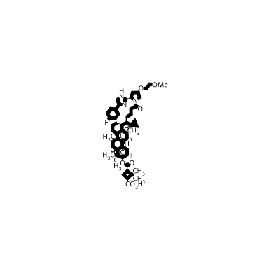 COCCO[C@@H]1C[C@@H](c2nc(-c3ccc(F)cc3)c[nH]2)N(C(=O)CCC[C@H]([C@H]2CCC[C@]3(C)[C@@H]2CC[C@@H]2[C@@]4(C)CC[C@H](OC(=O)[C@H]5C[C@@H](C(=O)O)C5(C)C)C(C)(C)[C@@H]4CC[C@]23C)C2(C)CC2)C1